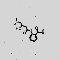 CNC(=O)c1ccccc1OC(=O)CC(O)CN(C)C